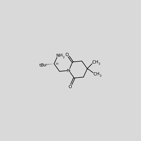 CC1(C)CC(=O)N(C[C@@H](N)C(C)(C)C)C(=O)C1